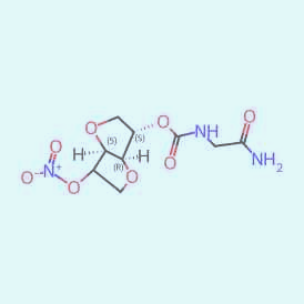 NC(=O)CNC(=O)O[C@H]1CO[C@@H]2C(O[N+](=O)[O-])CO[C@H]12